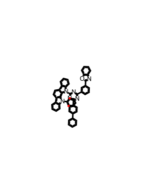 c1ccc(-c2ccc(-c3nc(-c4cccc(-c5nc6ccccc6o5)c4)nc(-n4c5ccccc5c5ccc6c7ccccc7n(-c7ccccc7)c6c54)n3)cc2)cc1